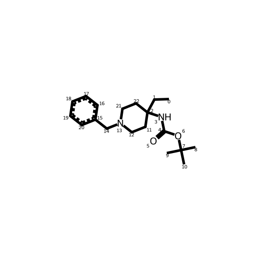 CCC1(NC(=O)OC(C)(C)C)CCN(Cc2ccccc2)CC1